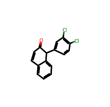 O=C1C=Cc2ccccc2C1c1ccc(Cl)c(Cl)c1